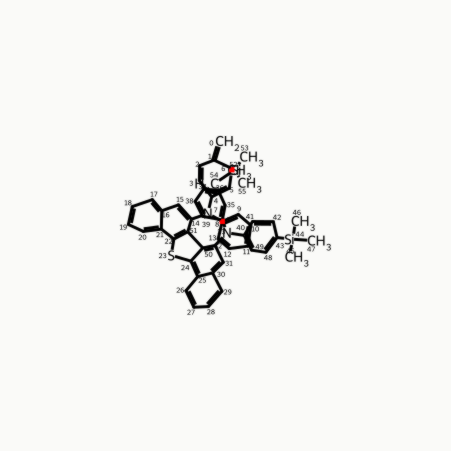 C=C(/C=C\C(=C/C)N(c1ccccc1)c1cc2ccccc2c2sc3c4ccccc4cc(N(c4ccccc4)c4ccc([Si](C)(C)C)cc4)c3c12)[Si](C)(C)C